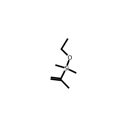 C=C(C)[Si](C)(C)OCC